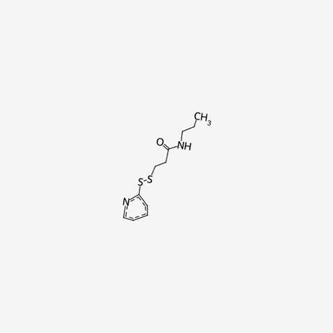 CCCNC(=O)CCSSc1ccccn1